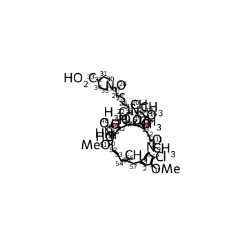 COc1cc2cc(c1Cl)N(C)C(=O)C[C@@H]1OC(=O)[C@H](C)N(C)C(C)(CCSCC(=O)N3CCC(C(=O)O)CC3)O[C@@H](C3O[C@]31C)[C@@H]1C[C@@](O)(NC(=O)O1)[C@H](OC)/C=C/C=C(\C)C2